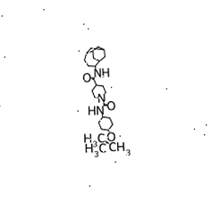 CC(C)(C)OC1CCC(NC(=O)N2CCC(C(=O)NC3CCC4CC5CC4CC3C5)CC2)CC1